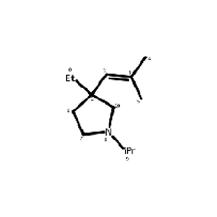 CCC1(C=C(C)C)CCN(C(C)C)C1